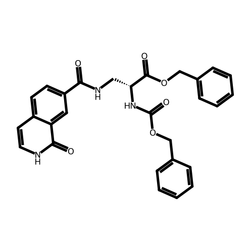 O=C(N[C@H](CNC(=O)c1ccc2cc[nH]c(=O)c2c1)C(=O)OCc1ccccc1)OCc1ccccc1